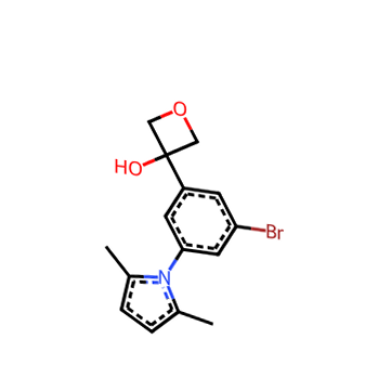 Cc1ccc(C)n1-c1cc(Br)cc(C2(O)COC2)c1